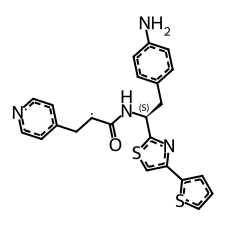 Nc1ccc(C[C@H](NC(=O)[CH]Cc2ccncc2)c2nc(-c3cccs3)cs2)cc1